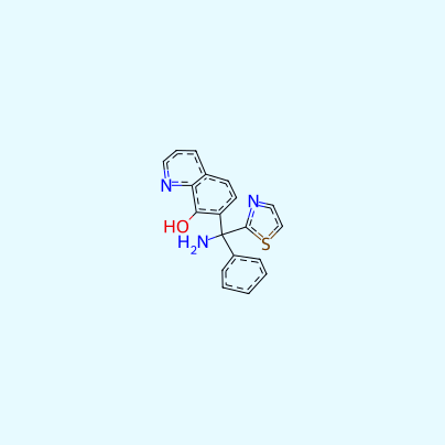 NC(c1ccccc1)(c1nccs1)c1ccc2cccnc2c1O